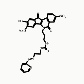 COc1cc2c(cc1O)C(=O)c1c-2n(CCCNC(=O)OCCSSc2ccccn2)c(=O)c2cc([N+](=O)[O-])ccc12